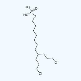 O=P(O)(O)OCCCCCCCC(CCCCl)CCCCl